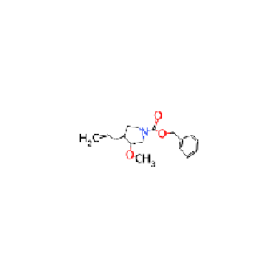 C=CCC1CCN(C(=O)OCc2ccccc2)CC1OC